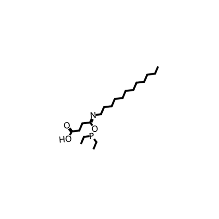 CCCCCCCCCCCCN=C(CCC(=O)O)OP(CC)CC